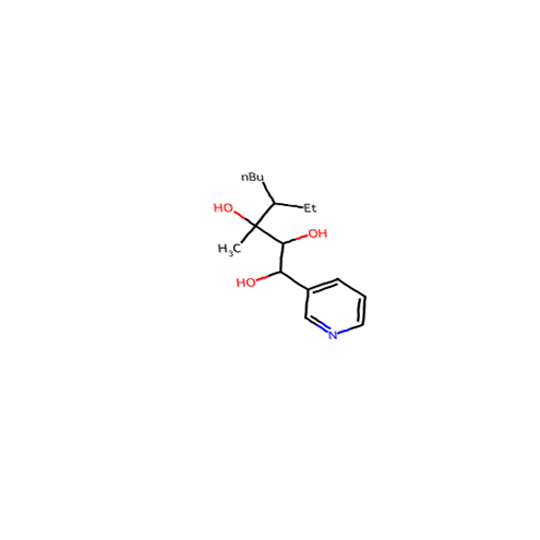 CCCCC(CC)C(C)(O)C(O)C(O)c1cccnc1